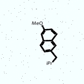 COc1ccc2cc(CC(C)C)ccc2c1